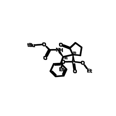 CCOP(=O)(OCC)[C@]1([C@H](NC(=O)OC(C)(C)C)c2ccccc2)CCCC1=O